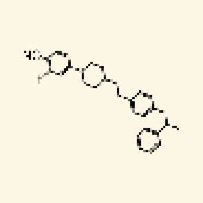 C[C@H](Cc1ccc(CCC2CCC(c3ccc(C#N)c(F)c3)CC2)cc1)c1ccccc1